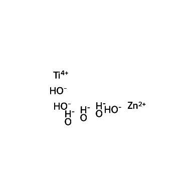 [OH-].[OH-].[OH-].[OH-].[OH-].[OH-].[Ti+4].[Zn+2]